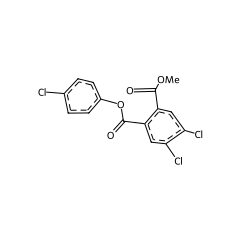 COC(=O)c1cc(Cl)c(Cl)cc1C(=O)Oc1ccc(Cl)cc1